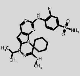 CNC1=NN(C(C)C)c2cc3cnc(Nc4ccc(S(N)(=O)=O)cc4F)nc3n2C12CCCCC2